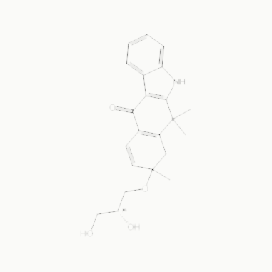 CC1(OC[C@H](O)CO)C=CC2=C(C1)C(C)(C)c1[nH]c3ccccc3c1C2=O